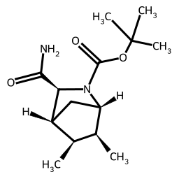 C[C@@H]1[C@H](C)[C@@H]2C[C@H]1[C@@H](C(N)=O)N2C(=O)OC(C)(C)C